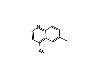 CC(=O)c1ccnc2ccc(C)cc12